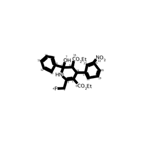 CCOC(=O)C1=C(CF)NC(O)(c2ccccc2)C(C(=O)OCC)C1c1cccc([N+](=O)[O-])c1